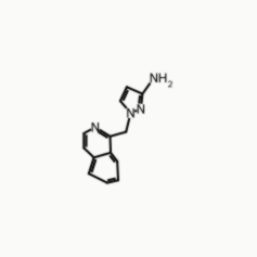 Nc1ccn(Cc2nccc3ccccc23)n1